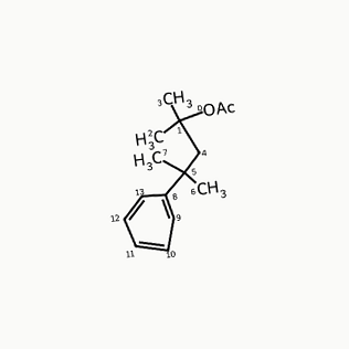 CC(=O)OC(C)(C)CC(C)(C)c1ccccc1